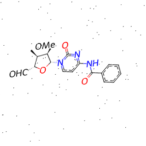 CO[C@@H]1[C@H](C)[C@@H](C=O)O[C@H]1n1ccc(NC(=O)c2ccccc2)nc1=O